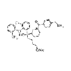 COCCCCC(O)(c1cccc(Cl)c1Oc1ccccc1C)C1CCCN(C(=O)c2ccc(CN)cc2)C1